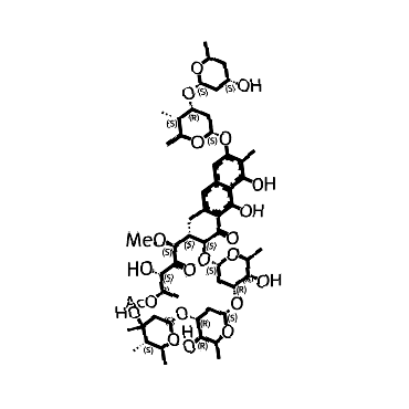 CO[C@H](C(=O)[C@@H](O)[C@@H](C)OC(C)=O)[C@@H]1Cc2cc3cc(O[C@H]4C[C@@H](O[C@H]5C[C@@H](O)CC(C)O5)[C@@H](C)C(C)O4)c(C)c(O)c3c(O)c2C(=O)[C@H]1O[C@H]1C[C@@H](O[C@H]2C[C@@H](O[C@H]3CC(C)(O)[C@@H](C)C(C)O3)[C@H](O)C(C)O2)[C@H](O)C(C)O1